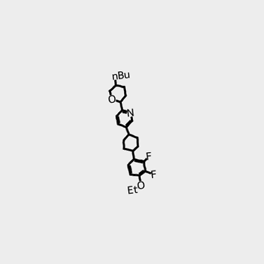 CCCCC1CCC(c2ccc(C3CCC(c4ccc(OCC)c(F)c4F)CC3)cn2)OC1